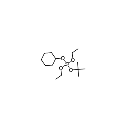 CCO[Si](OCC)(OC1CCCCC1)OC(C)(C)C